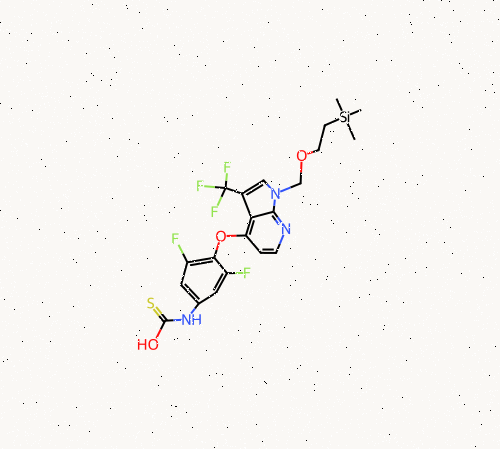 C[Si](C)(C)CCOCn1cc(C(F)(F)F)c2c(Oc3c(F)cc(NC(O)=S)cc3F)ccnc21